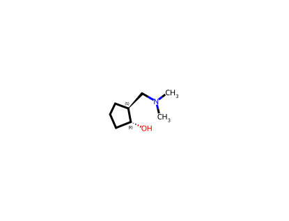 CN(C)C[C@@H]1CCC[C@H]1O